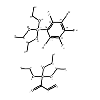 C=CC(=O)[Si](OCC)(OCC)OCC.CC[O][Ge]([O]CC)([O]CC)[c]1c(F)c(F)c(F)c(F)c1F